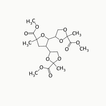 COC(=O)C1(C)CC(C2COC(C)(C(=O)OC)O2)C(C2COC(C)(C(=O)OC)O2)O1